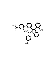 N#Cc1ccccc1-c1c(-c2cccc(-c3ccc(C(=O)N=O)cc3Cl)c2)n([S+]([O-])c2ccc(C(F)F)cc2)c2cccnc12